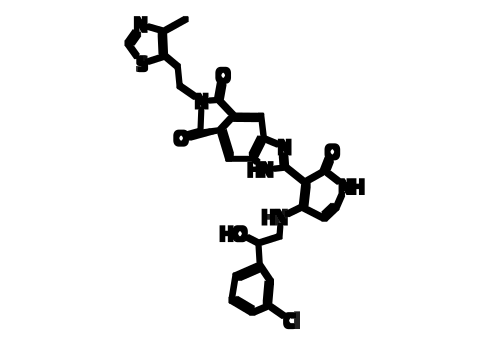 Cc1ncsc1CCN1C(=O)c2cc3nc(-c4c(NCC(O)c5cccc(Cl)c5)cc[nH]c4=O)[nH]c3cc2C1=O